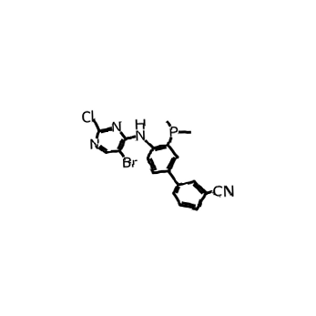 CP(C)c1cc(-c2cccc(C#N)c2)ccc1Nc1nc(Cl)ncc1Br